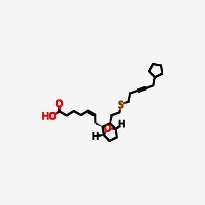 O=C(O)CCC/C=C\C[C@@H]1[C@@H](CCSCCC#CCC2CCCC2)[C@@H]2CC[C@H]1O2